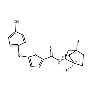 O=C(N[C@@H]1C[C@H]2CC[C@@H]1N2)c1ccc(Sc2ccc(O)cc2)s1